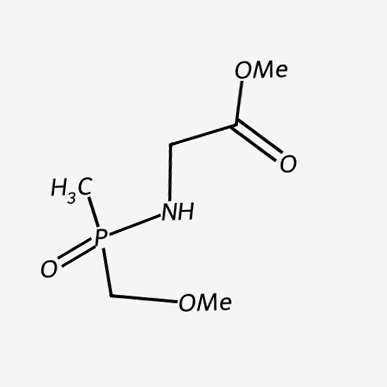 COCP(C)(=O)NCC(=O)OC